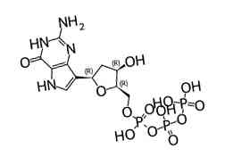 Nc1nc2c([C@H]3C[C@@H](O)[C@@H](COP(=O)(O)OP(=O)(O)OP(=O)(O)O)O3)c[nH]c2c(=O)[nH]1